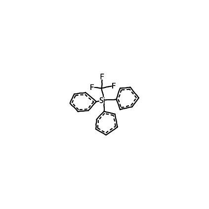 FC(F)(F)[Si](c1ccccc1)(c1ccccc1)c1ccccc1